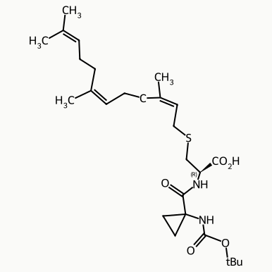 CC(C)=CCCC(C)=CCCC(C)=CCSC[C@H](NC(=O)C1(NC(=O)OC(C)(C)C)CC1)C(=O)O